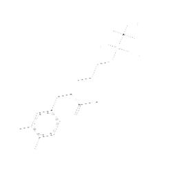 CC(C)(C)[Si](C)(C)OCCC[C@@H](Cc1ccc(Cl)c(F)c1)C(=O)O